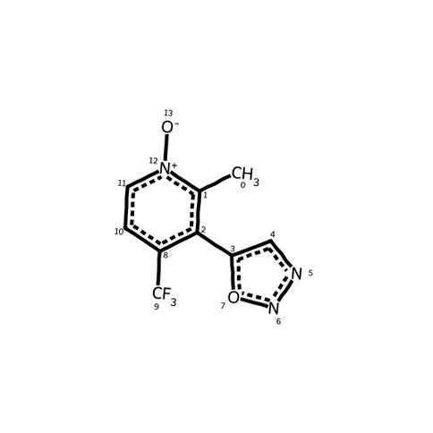 Cc1c(-c2cnno2)c(C(F)(F)F)cc[n+]1[O-]